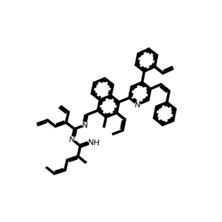 C=C/C=C(C=C)/C(=N/C(=N)/C(C)=C/C=C\C)/N=C/c1c(C)c(/C=C\C)c(-c2cc(-c3ccccc3C=C)c(/C=C\c3ccccc3)cn2)c2ccccc12